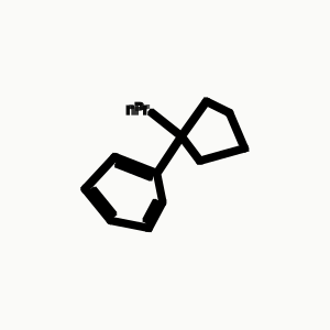 [CH2]CCC1(c2ccccc2)CCCC1